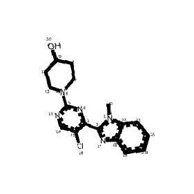 Cn1c(-c2nc(N3CCC(O)CC3)ncc2Cl)nc2ccccc21